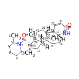 CC1CCCC(C)N1C(=O)[C@H]1CC[C@H]2[C@@H]3CC[C@H]4NC(=O)C=C[C@]4(C)[C@H]3CC[C@]12C